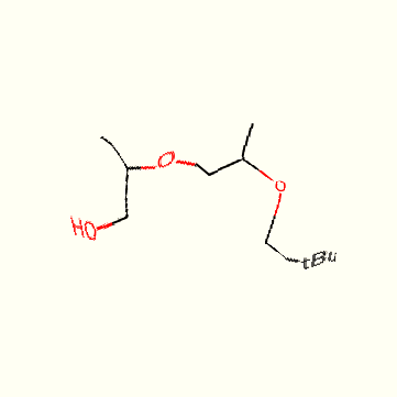 CC(CO)OCC(C)OCC(C)(C)C